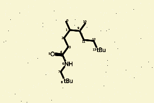 CC(CCC(=O)NCC(C)(C)C)C(C)CCC(C)(C)C